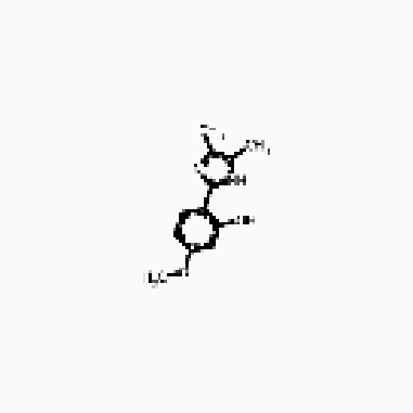 COc1ccc(-c2nc(C)c(C)[nH]2)c(O)c1